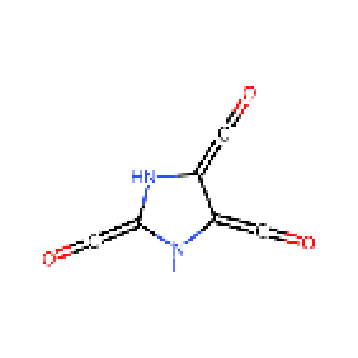 O=C=C1NC(=C=O)C(=C=O)N1